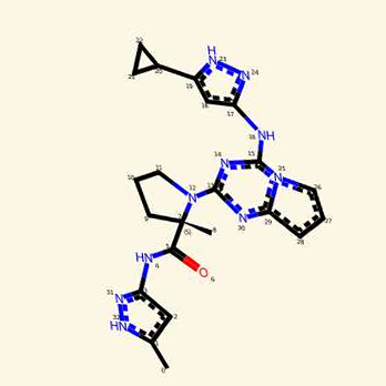 Cc1cc(NC(=O)[C@]2(C)CCCN2c2nc(Nc3cc(C4CC4)[nH]n3)n3cccc3n2)n[nH]1